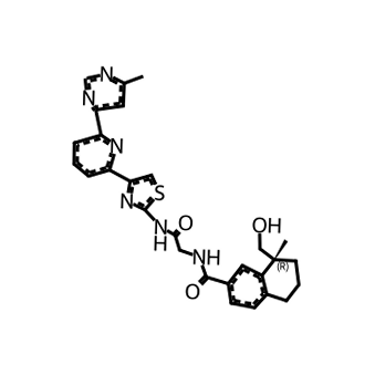 Cc1cc(-c2cccc(-c3csc(NC(=O)CNC(=O)c4ccc5c(c4)[C@](C)(CO)CCC5)n3)n2)ncn1